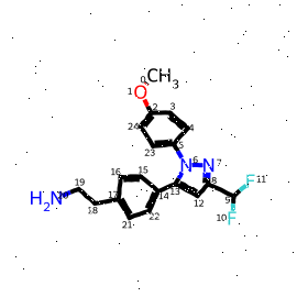 COc1ccc(-n2nc(C(F)F)cc2-c2ccc(CCN)cc2)cc1